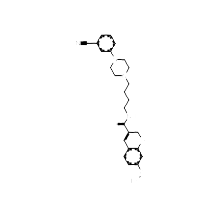 COc1ccc2c(c1)OCC(C(=O)NCCCCN1CCN(c3cccc(C#N)c3)CC1)=C2